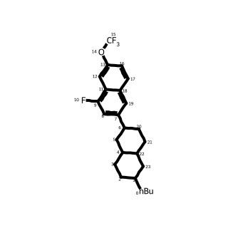 CCCCC1CCC2CC(c3cc(F)c4cc(OC(F)(F)F)ccc4c3)CCC2C1